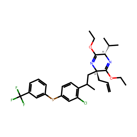 C=CC[C@@]1(CC(C)c2ccc(Sc3cccc(C(F)(F)F)c3)cc2Cl)N=C(OCC)[C@H](C(C)C)N=C1OCC